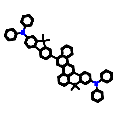 CC1(C)c2cc(-c3cc4c5cccc6c5c(cc4c4ccccc34)-c3ccc(N(c4ccccc4)c4ccccc4)cc3[Si]6(C)C)ccc2-c2ccc(N(c3ccccc3)c3ccccc3)cc21